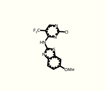 COc1ccc2nc(Nc3nc(Cl)ncc3C(F)(F)F)sc2c1